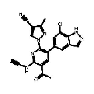 C#CNc1nc(-n2cc(C#N)c(C)n2)c(-c2cc(Cl)c3[nH]ncc3c2)cc1C(C)=O